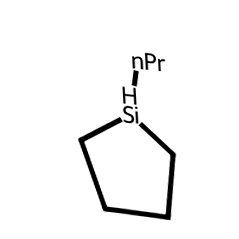 CCC[SiH]1CCCC1